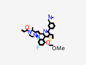 C=CC(=O)N1CCn2nc(-c3nc(-c4cccc(CN(C)C)c4)c4ccsc4c3-c3c(F)cc(F)cc3OCCOC)cc2C1C